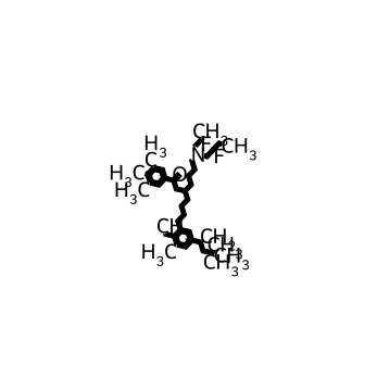 C=C(CC(C)(C)C)c1cc(C)c(CC)c(CCCCC(CCCCN(CCC)CC(F)(F)CC)CC(=O)c2cc(C)c(C)c(C)c2)c1